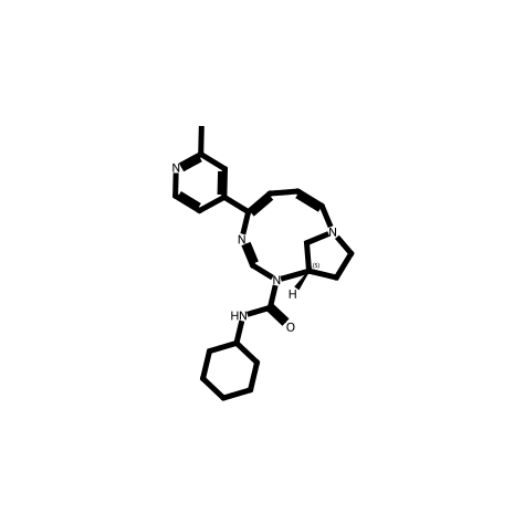 Cc1cc(C2=CC=CN3CC[C@@H](C3)N(C(=O)NC3CCCCC3)C=N2)ccn1